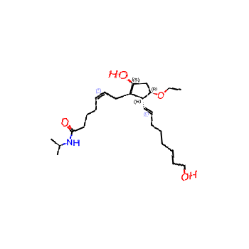 CCO[C@@H]1C[C@H](O)C(C/C=C\CCCC(=O)NC(C)C)[C@H]1/C=C/CCCCCCO